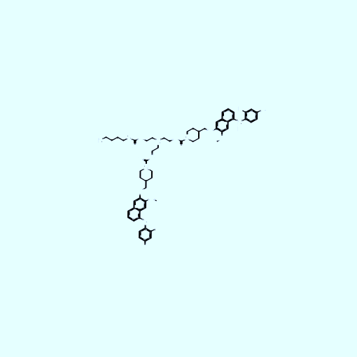 COc1cc2c(Nc3ccc(Br)cc3F)cccc2cc1OCC1CCN(C(=O)OCCN(CCOC(=O)NCCCCN)CCOC(=O)N2CCC(COc3cc4cccc(Nc5ccc(Br)cc5F)c4cc3OC)CC2)CC1